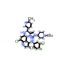 Cc1ccc([C@H](Nc2cc(Cl)c3ncc(C#N)c(Nc4ccc(F)c(Cl)c4)c3c2)C2=CN(C3CCN(C(C)(C)C)CC3)NN2)cn1